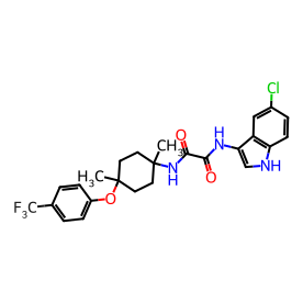 CC1(NC(=O)C(=O)Nc2c[nH]c3ccc(Cl)cc23)CCC(C)(Oc2ccc(C(F)(F)F)cc2)CC1